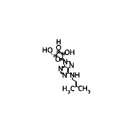 CC(C)=CCNc1ncnc2c1ncn2[C@@H]1O[C@H](CO)[C@H](O)[C@@H]1O